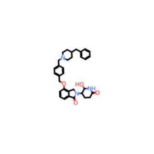 O=C1CCC(N2Cc3c(OCc4ccc(CN5CCC(Cc6ccccc6)CC5)cc4)cccc3C2=O)C(O)N1